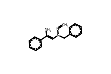 C=NN(/C=C(\N)c1ccccc1)Cc1ccccc1